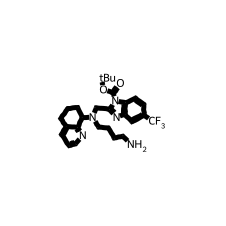 CC(C)(C)OC(=O)n1c(CN(CCCCN)C2CCCc3cccnc32)nc2cc(C(F)(F)F)ccc21